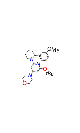 COc1cccc(C2CCCCN2c2cc(N3CCOCC3C)cc(OC(C)(C)C)n2)c1